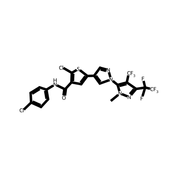 Cn1nc(C(F)(F)C(F)(F)F)c(C(F)(F)F)c1-n1cc(-c2cc(C(=O)Nc3ccc(Cl)cc3)c(Cl)s2)cn1